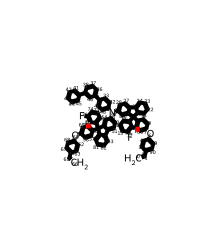 C=Cc1ccc(Oc2ccc(C3(c4cccc(F)c4F)c4ccccc4-c4ccc(N(c5ccc(-c6cccc(-c7ccccc7)c6)cc5)c5ccc6c(c5)C(c5ccc(Oc7ccc(C=C)cc7)cc5)(c5cccc(F)c5F)c5ccccc5-6)cc43)cc2)cc1